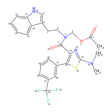 CC(=O)OCN(CCc1c[nH]c2ccccc12)C(=O)c1nc(N(C)C)sc1-c1cccc(C(F)(F)F)c1